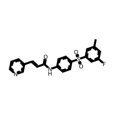 Cc1cc(F)cc(S(=O)(=O)c2ccc(NC(=O)C=Cc3cccnc3)cc2)c1